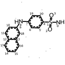 NS(=O)(=O)c1ccc(Nc2ccc3ccccc3c2)cc1